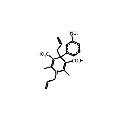 C=CCN1C(C)=C(C(=O)O)C(CC=C)(c2cccc([N+](=O)[O-])c2)C(C(=O)O)=C1C